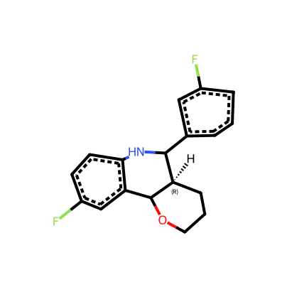 Fc1cccc(C2Nc3ccc(F)cc3C3OCCC[C@H]23)c1